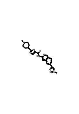 CN1CCC(c2nc(C(=O)Nc3cc4cc(-c5cn(C)nn5)ccc4cn3)co2)CC1